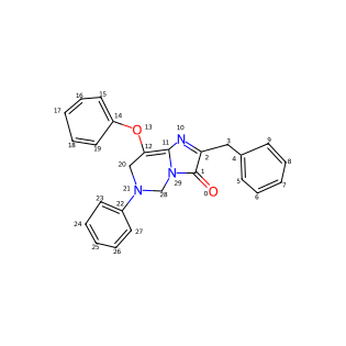 O=C1C(Cc2ccccc2)=NC2=C(Oc3ccccc3)CN(c3ccccc3)CN12